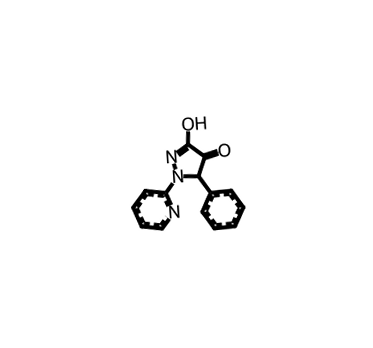 O=C1C(O)=NN(c2ccccn2)C1c1ccccc1